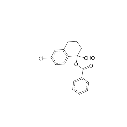 O=CC1(OC(=O)c2ccccc2)CCCc2cc(Cl)ccc21